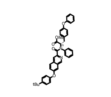 COC(=O)[C@H](Cc1ccc(Oc2ccccc2)cc1)N(C(=O)c1cc2ccc(Oc3ccc(C(C)(C)C)cc3)cc2cn1)c1ccccc1